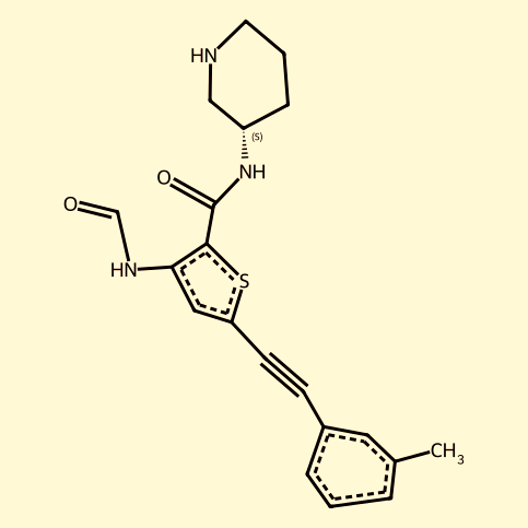 Cc1cccc(C#Cc2cc(NC=O)c(C(=O)N[C@H]3CCCNC3)s2)c1